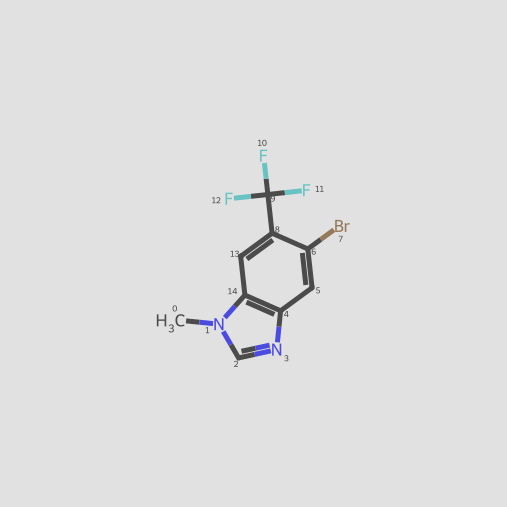 Cn1cnc2cc(Br)c(C(F)(F)F)cc21